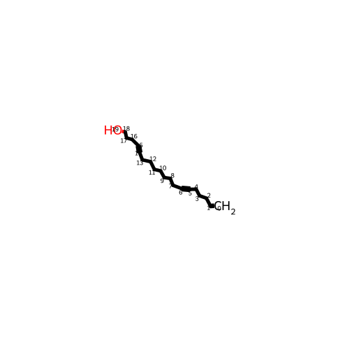 C=CCCCC#CCCCCCCCC#CCCCO